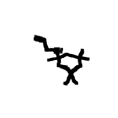 C=CCNC1(C)CC(C)(C)CC(C)(C)C1